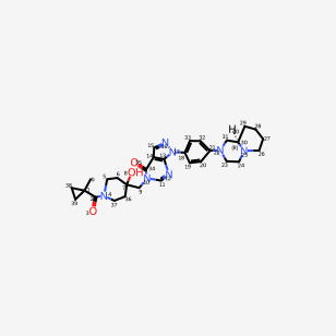 CC1(C(=O)N2CCC(O)(Cn3cnc4c(cnn4-c4ccc(N5CCN6CCCC[C@@H]6C5)cc4)c3=O)CC2)CC1